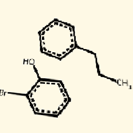 CCCc1ccccc1.Oc1ccccc1Br